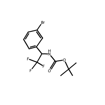 CC(C)(C)OC(=O)NC(c1cccc(Br)c1)C(F)(F)F